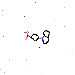 COC(=O)c1ccc(-[n+]2cccc3ccccc32)cc1